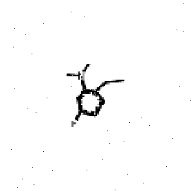 CCc1ccc(F)cc1N(C)C